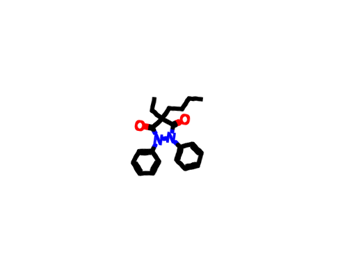 CCCCC1(CC)C(=O)N(c2ccccc2)N(c2ccccc2)C1=O